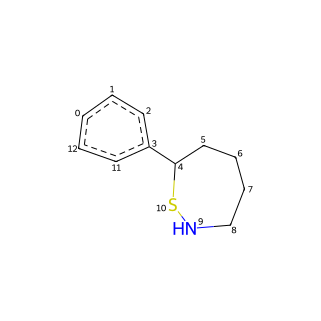 c1ccc(C2CCCCNS2)cc1